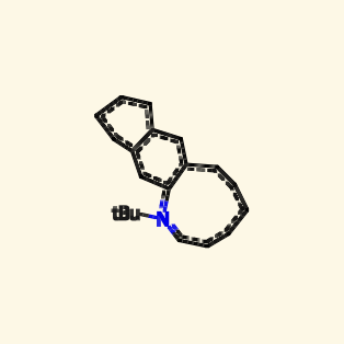 CC(C)(C)n1ccccccc2cc3ccccc3cc21